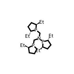 CC[C@@H]1CCCP1CN(CP1[C@H](CC)CC[C@H]1CC)P1[C@H](CC)CC[C@H]1CC